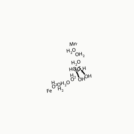 O.O.O.O.O.O.O.O=S(=O)(O)O.O=S(=O)(O)O.[Fe].[Mn]